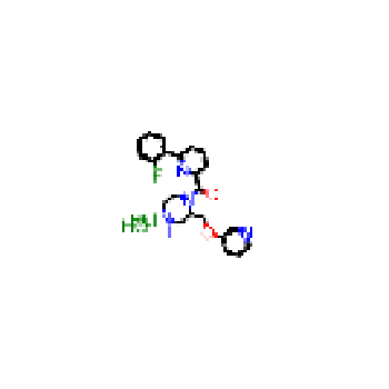 Cl.Cl.O=C(c1cccc(-c2ccccc2F)n1)N1CCNCC1COc1cccnc1